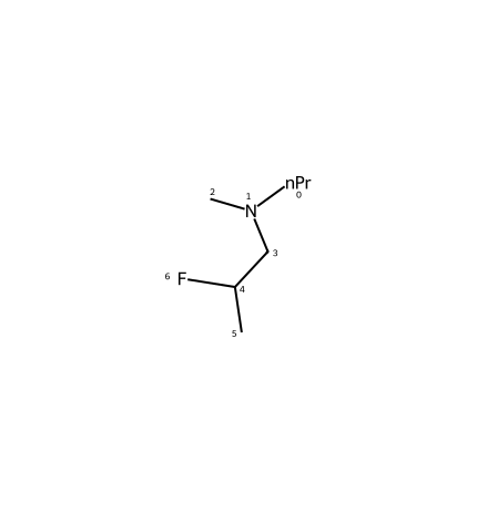 CCCN(C)CC(C)F